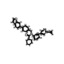 O=C(C1CCCCC1)N(Cc1ccc(-c2ccc3ccoc3c2)cc1)c1cccc(-c2cnn(C3CC3)c2)c1